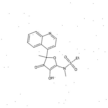 CCS(=O)(=O)N(C)C1=C(O)C(=O)C(C)(c2ccnc3ccccc23)O1